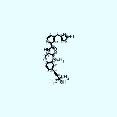 CCc1nc(Cc2ccnc(C(=O)N[C@H]3COc4ccc(C#CC(C)(C)O)cc4N(C)C3=O)c2)cs1